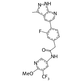 COc1ncc(NC(=O)Cc2ccc(-c3cnc4[nH]nc(C)c4c3)c(F)c2)cc1C(F)(F)F